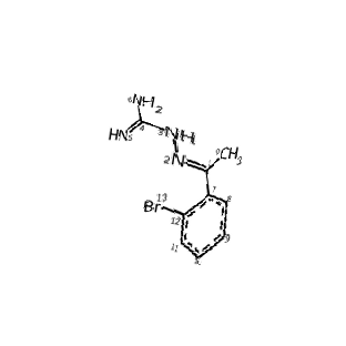 CC(=NNC(=N)N)c1ccccc1Br